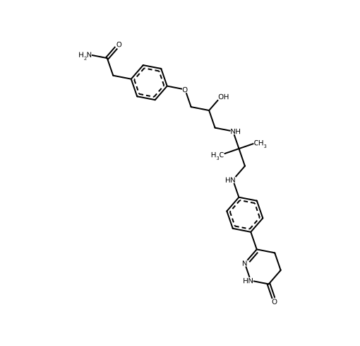 CC(C)(CNc1ccc(C2=NNC(=O)CC2)cc1)NCC(O)COc1ccc(CC(N)=O)cc1